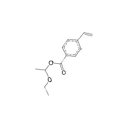 C=Cc1ccc(C(=O)OC(C)OCC)cc1